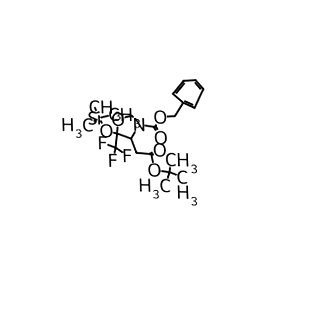 CC(C)(C)OC(=O)CC1N(C(=O)OCc2ccccc2)COC1(O[Si](C)(C)C)C(F)(F)F